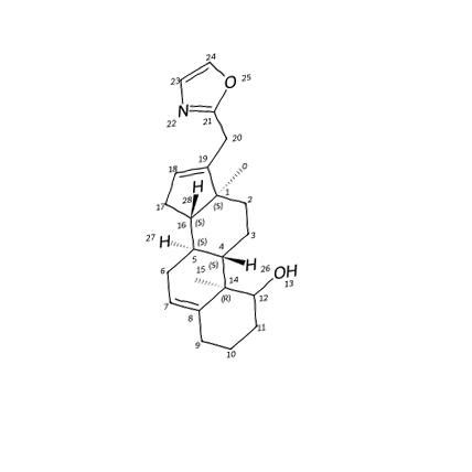 C[C@]12CC[C@H]3[C@@H](CC=C4CCCC(O)[C@@]43C)[C@@H]1CC=C2Cc1ncco1